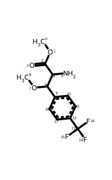 COC(=O)C(N)C(OC)c1ccc(C(F)(F)F)cc1